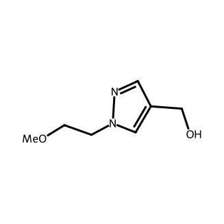 COCCn1cc(CO)cn1